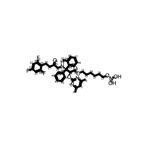 Cc1cc(C)nc(O[C@H](C(=O)OCCCCCCON(O)O)[C@](NCC(=O)CCc2c(F)cc(F)cc2F)(c2ccccc2)c2ccccc2C)n1